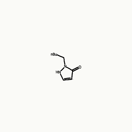 CCCCCn1[nH]c[c]c1=O